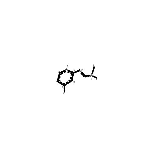 Cc1ccnc(N=CN(C)C)c1